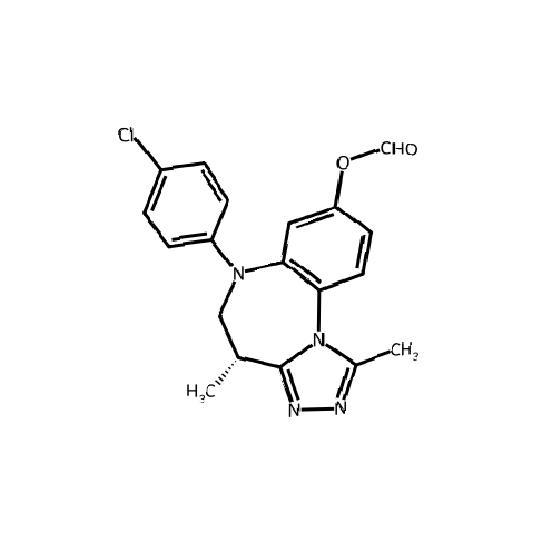 Cc1nnc2n1-c1ccc(OC=O)cc1N(c1ccc(Cl)cc1)C[C@H]2C